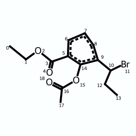 CCOC(=O)c1cccc(C(Br)CC)c1OC(C)=O